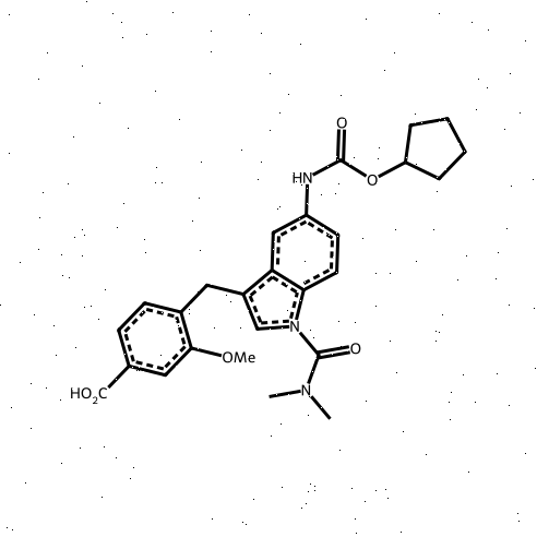 COc1cc(C(=O)O)ccc1Cc1cn(C(=O)N(C)C)c2ccc(NC(=O)OC3CCCC3)cc12